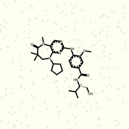 COc1cc(C(=O)N[C@H](CO)C(C)C)ccc1Nc1ncc2c(n1)N(C1CCCC1)CC(C)(C)C(=O)N2C